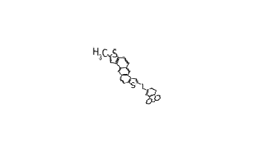 Cc1cc2c(ccc3cc4c(ccc5sc(CCc6ccc7c(c6)OCO7)cc54)cc32)s1